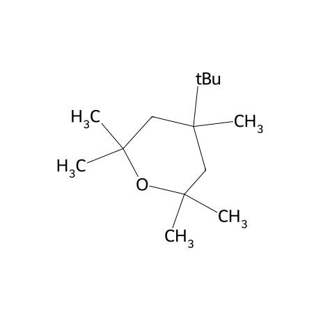 CC1(C)CC(C)(C(C)(C)C)CC(C)(C)O1